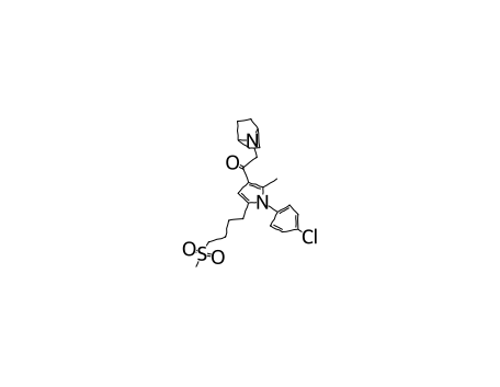 Cc1c(C(=O)CN2C3CCC2CC3)cc(CCCCS(C)(=O)=O)n1-c1ccc(Cl)cc1